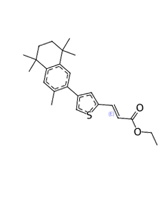 CCOC(=O)/C=C/c1cc(-c2cc3c(cc2C)C(C)(C)CCC3(C)C)cs1